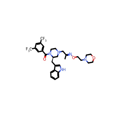 C/C(CN1CCN(C(=O)c2cc(C(F)(F)F)cc(C(F)(F)F)c2)[C@H](Cc2c[nH]c3ccccc23)C1)=N\OCCN1CCOCC1